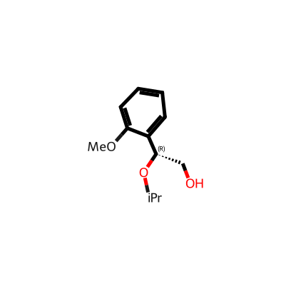 COc1ccccc1[C@H](CO)OC(C)C